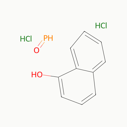 Cl.Cl.O=P.Oc1cccc2ccccc12